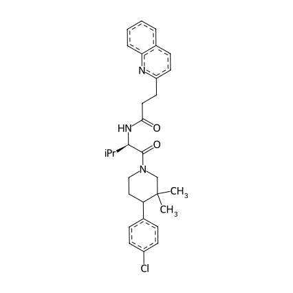 CC(C)[C@@H](NC(=O)CCc1ccc2ccccc2n1)C(=O)N1CCC(c2ccc(Cl)cc2)C(C)(C)C1